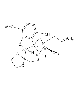 C=CCN1CC[C@@]23c4c(C)ccc(OC)c4O[C@@H]2C2(CC[C@@H]3[C@@H]1C)OCCO2